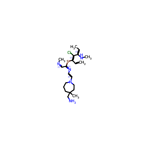 C=C/C(SC(/C=N\C)=N/C=C/N1CCCC(C)(CN)CC1)=C(Cl)\C(=C/C)NC